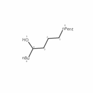 [CH2]CCCCCCCC(O)CCCC